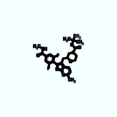 CNC(=O)c1cc(F)c(-c2oc3nc(C)ccc3c2CC2CN(C(=O)OC(C)(C)C)CCO2)c(F)c1